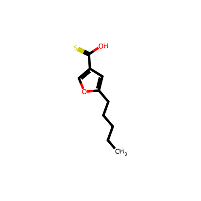 CCCCCc1cc(C(O)=S)co1